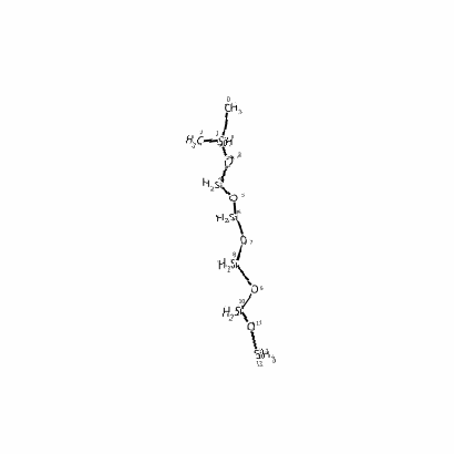 C[SiH](C)O[SiH2]O[SiH2]O[SiH2]O[SiH2]O[SiH3]